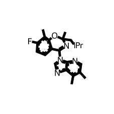 Cc1cnc2c(ncn2C2=NC(C)(CC(C)C)Oc3c2ccc(F)c3C)c1C